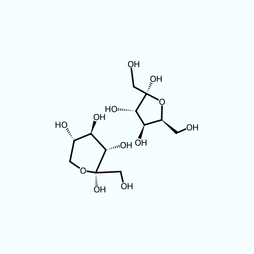 OC[C@@H]1O[C@](O)(CO)[C@@H](O)[C@@H]1O.OC[C@@]1(O)OC[C@H](O)[C@@H](O)[C@@H]1O